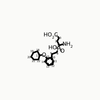 NC(CCC(=O)O)P(=O)(O)CCc1ccccc1OC1CCCCC1